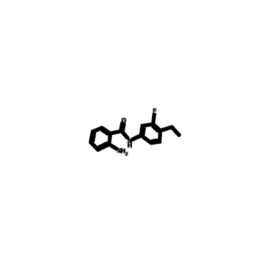 CCc1ccc(NC(=O)c2ccccc2N)cc1F